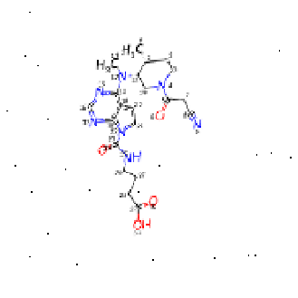 C[C@@H]1CCN(C(=O)CC#N)C[C@@H]1N(C)c1ncnc2c1ccn2C(=O)NCCCC(=O)O